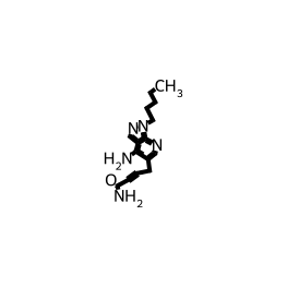 CCCCCn1ncc2c(N)c(CC#CC(N)=O)cnc21